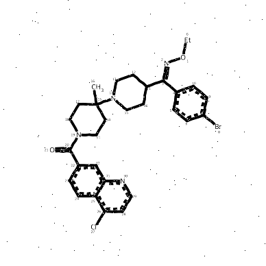 CCON=C(c1ccc(Br)cc1)C1CCN(C2(C)CCN(C(=O)c3ccc4c(Cl)ccnc4c3)CC2)CC1